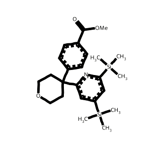 COC(=O)c1ccc(C2(c3cc([Si](C)(C)C)cc([Si](C)(C)C)n3)CCOCC2)cc1